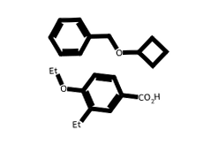 CCOc1ccc(C(=O)O)cc1CC.c1ccc(COC2CCC2)cc1